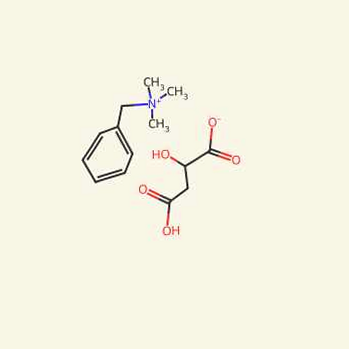 C[N+](C)(C)Cc1ccccc1.O=C(O)CC(O)C(=O)[O-]